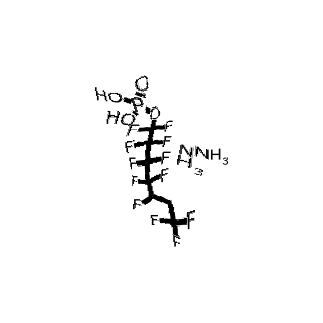 N.N.O=P(O)(O)OC(F)(F)C(F)(F)C(F)(F)C(F)(F)C(F)CC(F)(F)F